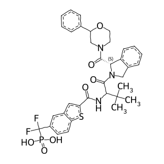 CC(C)(C)C(NC(=O)c1cc2cc(C(F)(F)P(=O)(O)O)ccc2s1)C(=O)N1Cc2ccccc2[C@H]1C(=O)N1CCOC(c2ccccc2)C1